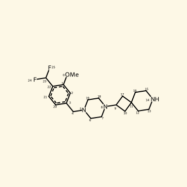 COc1cc(CN2CCN(C3CC4(CCNCC4)C3)CC2)ccc1C(F)F